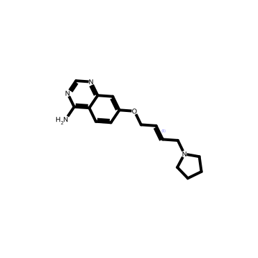 Nc1ncnc2cc(OC/C=C/CN3CCCC3)ccc12